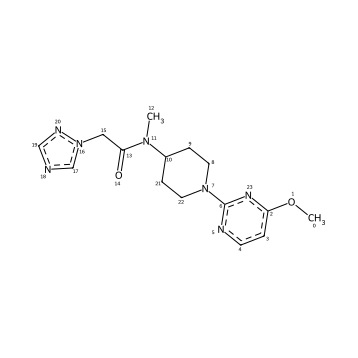 COc1ccnc(N2CCC(N(C)C(=O)Cn3cncn3)CC2)n1